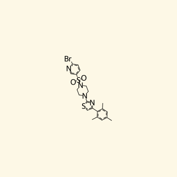 Cc1cc(C)c(-c2csc(N3CCN(S(=O)(=O)c4ccc(Br)nc4)CC3)n2)c(C)c1